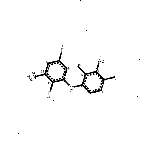 CC(=O)c1c(C)ccc(Oc2cc(F)cc(N)c2F)c1C